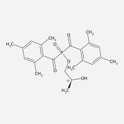 Cc1cc(C)c(C(=O)P(=O)(OC[C@H](C)O)C(=O)c2c(C)cc(C)cc2C)c(C)c1